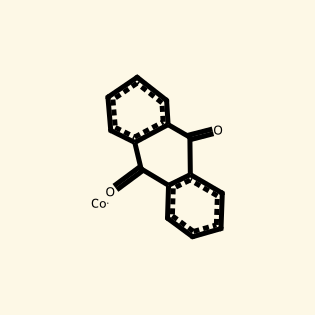 O=C1c2ccccc2C(=O)c2ccccc21.[Co]